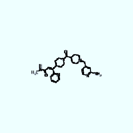 CNC(=O)/C=C(\c1ccccn1)C1CCN(C(=O)C2CCN(Cc3ccnc(N)c3)CC2)CC1